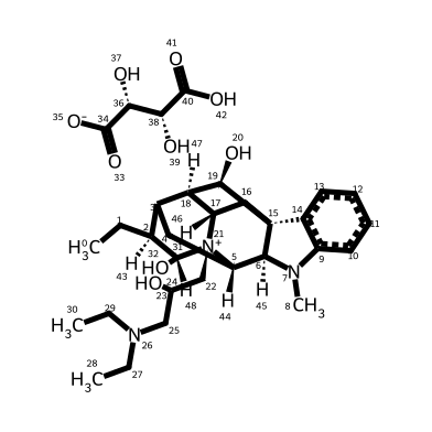 CC[C@H]1C2C[C@H]3[C@@H]4N(C)c5ccccc5[C@]45C[C@@H]([C@@H]2[C@H]5O)[N@@+]3(CC(O)CN(CC)CC)[C@@H]1O.O=C([O-])[C@H](O)[C@@H](O)C(=O)O